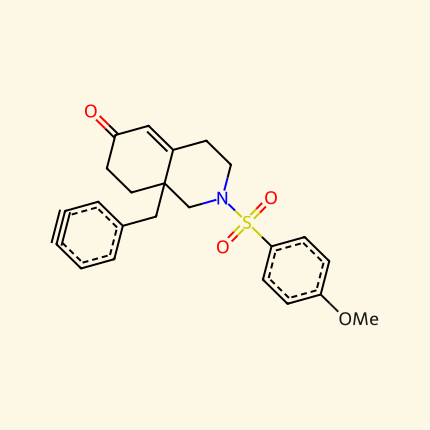 COc1ccc(S(=O)(=O)N2CCC3=CC(=O)CCC3(Cc3cc#ccc3)C2)cc1